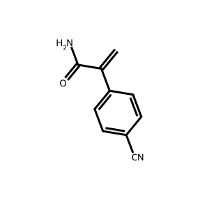 C=C(C(N)=O)c1ccc(C#N)cc1